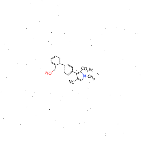 CCOC(=O)c1c(-c2ccc(-c3ccccc3CO)cc2)c(C#N)cn1C